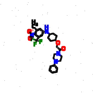 Cc1cc(NC2CCC(OCC(=O)N3CCN(c4ccccc4)CC3)CC2)cc(C(F)(F)F)c1[N+](=O)[O-]